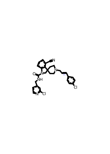 N#Cc1cccc2c1C1(CCN(C/C=C/c3ccc(Cl)cc3)CC1)CN2C(=O)NCc1ccnc(Cl)c1